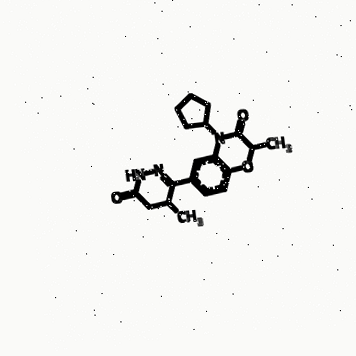 CC1CC(=O)NN=C1c1ccc2c(c1)N(C1CCCC1)C(=O)C(C)O2